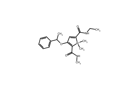 CCNC(=O)C1=CC(OC(C)c2ccccc2)=C(C(=O)NC)[N+]1(C)C